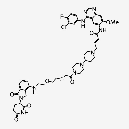 COc1cc2ncnc(Nc3ccc(F)c(Cl)c3)c2cc1NC(=O)/C=C/CN1CCC(N2CCN(C(=O)COCCOCCNc3cccc4c3CN(C3CCC(=O)NC3=O)C4=O)CC2)CC1